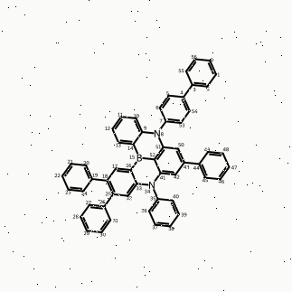 c1ccc(-c2ccc(N3c4ccccc4B4c5cc(-c6ccccc6)c(-c6ccccc6)cc5N(c5ccccc5)c5cc(-c6ccccc6)cc3c54)cc2)cc1